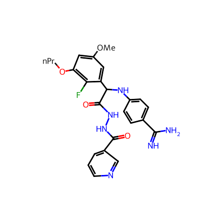 CCCOc1cc(OC)cc(C(Nc2ccc(C(=N)N)cc2)C(=O)NNC(=O)c2cccnc2)c1F